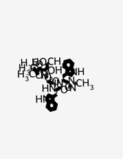 CO[C@H](/C(=N/OCC(=O)N[C@@H](Cc1c[nH]c2ccccc12)C(=O)N[C@@H](Cc1c[nH]c2ccccc12)c1nc(C)no1)[C@@H](O)[C@@H](C)O)C(C)(C)C